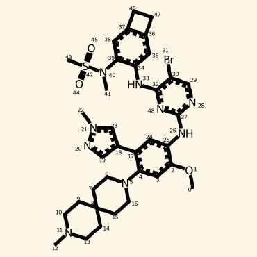 COc1cc(N2CCC3(CCN(C)CC3)CC2)c(-c2cnn(C)c2)cc1Nc1ncc(Br)c(Nc2cc3c(cc2N(C)S(C)(=O)=O)CC3)n1